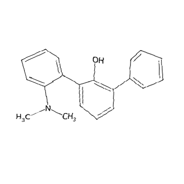 CN(C)c1ccccc1-c1cccc(-c2ccccc2)c1O